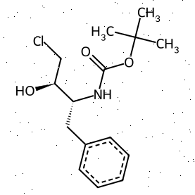 CC(C)(C)OC(=O)N[C@H](Cc1ccccc1)[C@@H](O)CCl